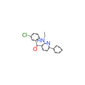 CCNc1nc(-c2ccccc2)ccc1C(=O)c1cccc(Cl)c1